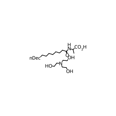 CCCCCCCCCCCCCCCCCC(=O)NC(C)C(=O)O.OCCN(CCO)CCO